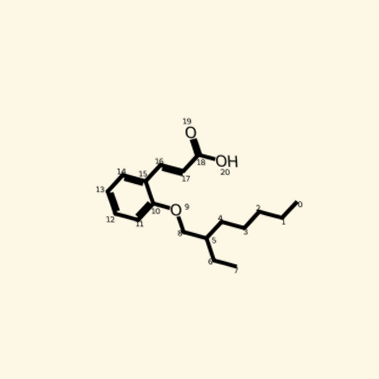 CCCCCC(CC)COc1ccccc1/C=C/C(=O)O